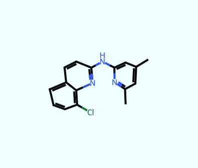 Cc1cc(C)nc(Nc2ccc3cccc(Cl)c3n2)c1